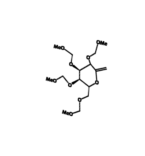 C=C1OC(COCOC)[C@@H](OCOC)[C@@H](OCOC)C1OCOC